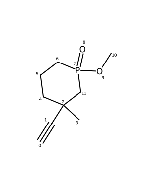 C#CC1(C)CCCP(=O)(OC)C1